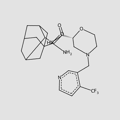 NC(=O)C12CC3CC(C1)C(NC(=O)[C@H]1CN(Cc4cnccc4C(F)(F)F)CCO1)C(C3)C2